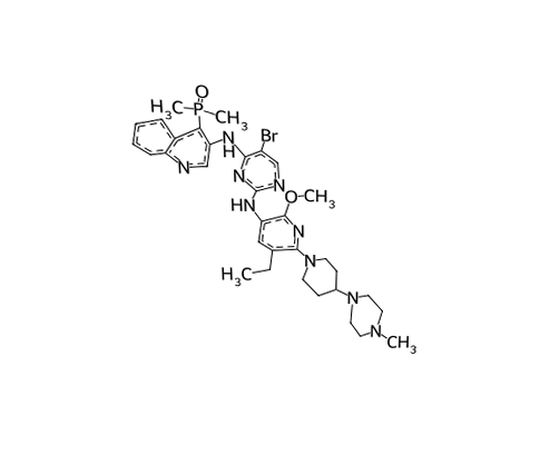 CCc1cc(Nc2ncc(Br)c(Nc3cnc4ccccc4c3P(C)(C)=O)n2)c(OC)nc1N1CCC(N2CCN(C)CC2)CC1